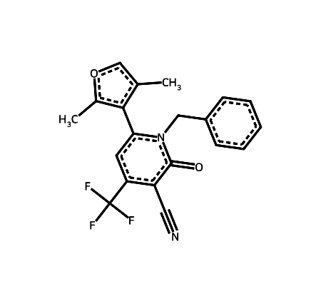 Cc1coc(C)c1-c1cc(C(F)(F)F)c(C#N)c(=O)n1Cc1ccccc1